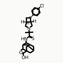 CC1C2CC3CC(CC1(C(=O)O)C3)C2NC(=S)C(C)(C)N1C[C@@H]2C[C@@H](c3ccc(Cl)cc3)[C@@H]2C1